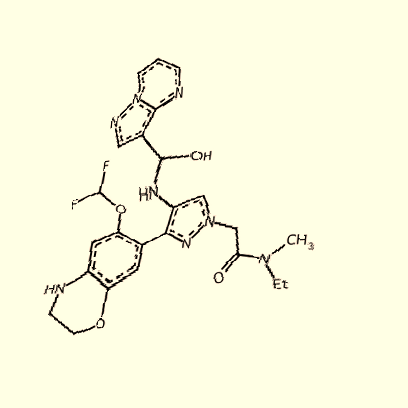 CCN(C)C(=O)Cn1cc(NC(O)c2cnn3cccnc23)c(-c2cc3c(cc2OC(F)F)NCCO3)n1